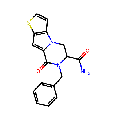 NC(=O)C1Cn2c(cc3sccc32)C(=O)N1Cc1ccccc1